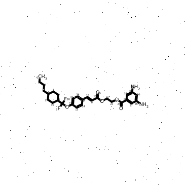 CCCCC1CCC(C(F)(F)Oc2ccc(C=CC(=O)OCCOC(=O)c3cc(N)cc(N)c3)cc2)CC1